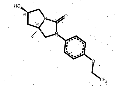 C[C@]12C[C@@H](O)CN1C(=O)N(c1ccc(OCC(F)(F)F)cc1)C2